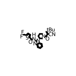 CC(C)(C)C=C(C#N)C(=O)N1CCCC(n2c(NC(=O)c3ccc(C(F)F)s3)nc3ccccc32)C1